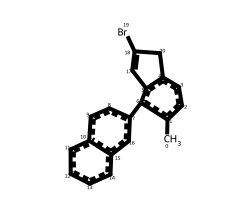 Cc1ccc2c(c1-c1ccc3ccccc3c1)C=C(Br)C2